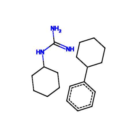 N=C(N)NC1CCCCC1.c1ccc(C2CCCCC2)cc1